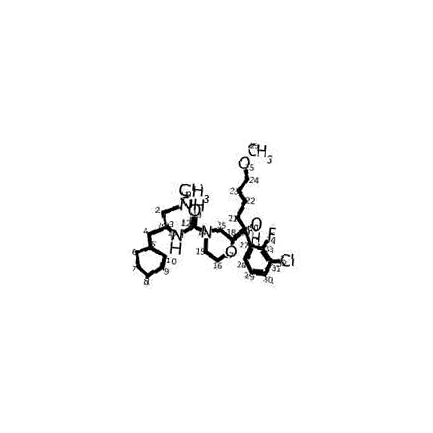 CNC[C@H](CC1CCCCC1)NC(=O)N1CCOC([C@@](O)(CCCCOC)c2cccc(Cl)c2F)C1